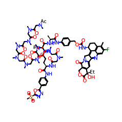 CC[C@@]1(O)C(=O)OCc2c1cc1n(c2=O)Cc2c-1nc1cc(F)c(C)c3c1c2[C@@H](NC(=O)OCc1ccc(NC(=O)[C@H](C)NC(=O)[C@@H](NC(=O)CC[C@@H](NC(=O)CN(C)C(=O)CN(C)C(=O)CN(C)C(=O)CN(C)C(=O)CN(C)C(=O)CN(C)C(=O)CN(C)C(=O)CN(C)C(=O)CN(C)C(=O)CN(C)C(C)=O)C(=O)Nc2ccc(-c4nnc(S(C)(=O)=O)o4)cc2)C(C)C)cc1)CC3